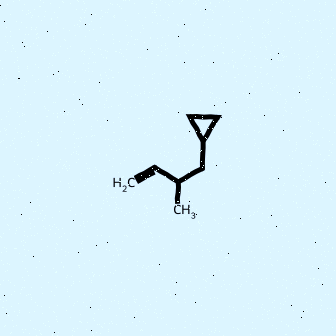 C=CC(C)CC1[CH]C1